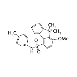 COc1ccc(S(=O)(=O)Nc2ccc(C)cc2)c2c1[N+](C)(C)c1ccccc1-2